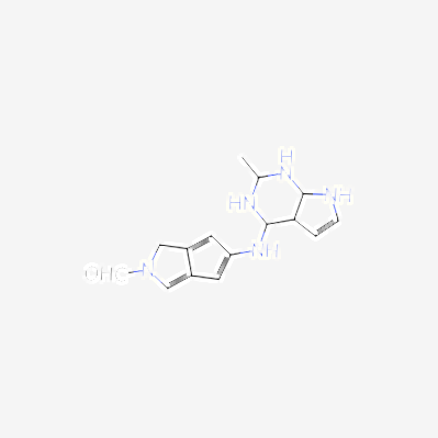 CC1NC2NC=CC2C(NC2=CC3=CN(C=O)CC3=C2)N1